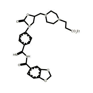 CCOC(=O)CCN1CCN(CC2CN(c3ccc(C(=N)NC(=O)c4ccc5c(c4)OCO5)cc3)C(=O)O2)CC1